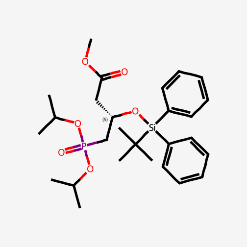 COC(=O)C[C@@H](CP(=O)(OC(C)C)OC(C)C)O[Si](c1ccccc1)(c1ccccc1)C(C)(C)C